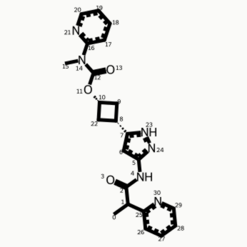 CC(C(=O)Nc1cc([C@H]2C[C@@H](OC(=O)N(C)c3ccccn3)C2)[nH]n1)c1ccccn1